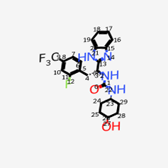 O=C(N[C@H](Cc1ccc(C(F)(F)F)cc1F)c1nc2ccccc2[nH]1)N[C@H]1CC[C@H](O)CC1